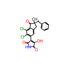 CC1(Cc2ccccc2)Cc2cc(C3=C(O)C(=O)NC3=O)c(Cl)c(Cl)c2C1=O